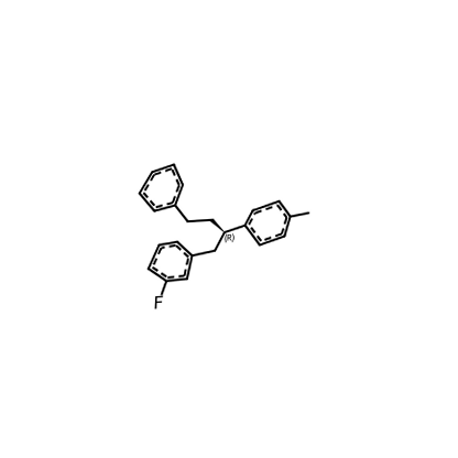 Cc1ccc([C@H](CCc2ccccc2)Cc2cccc(F)c2)cc1